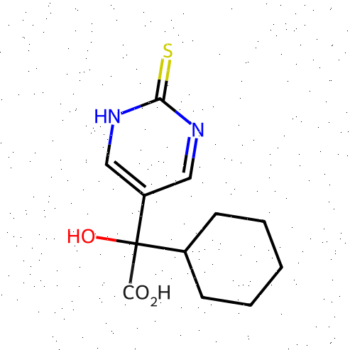 O=C(O)C(O)(c1cnc(=S)[nH]c1)C1CCCCC1